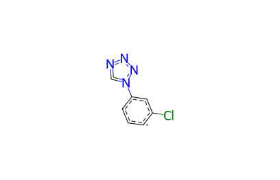 Clc1[c]ccc(-n2cnnn2)c1